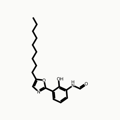 CCCCCCCCCc1cnc(-c2cccc(NC=O)c2O)o1